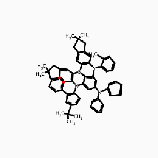 Cc1ccccc1N1c2cc3c(cc2B2c4cc5c(cc4N(c4ccc(C(C)(C)C)cc4-c4ccccc4)c4cc(N(c6ccccc6)c6ccccc6)cc1c42)CC(C)(C)C5)CC(C)(C)C3